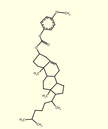 COc1ccc(OC(=O)OC2CCC3(C)C(=CCC4C3CCC3(C)C(C(C)CCCC(C)C)CCC43)C2)cc1